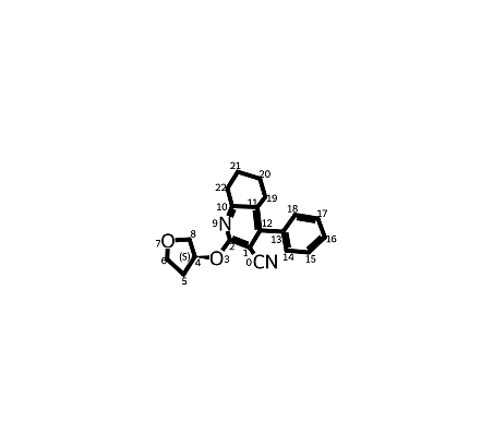 N#Cc1c(O[C@H]2CCOC2)nc2c(c1-c1ccccc1)CCCC2